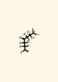 O=C(C(F)(F)C(F)(F)C(F)F)C(F)(F)C(F)(F)C(F)F